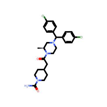 C[C@H]1CN(C(c2ccc(Cl)cc2)c2ccc(Cl)cc2)CCN1C(=O)CC1CCN(C(N)=O)CC1